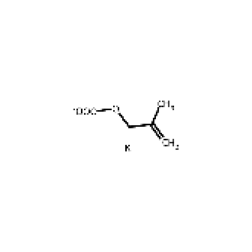 C=C(C)COC(=O)[O-].[K+]